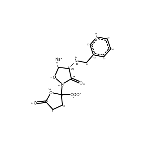 O=C1CCC(C(=O)[O-])(N2OC[C@H](NCc3cccnc3)C2=O)O1.[Na+]